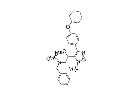 COC(CN(C=O)Cc1ccccc1)c1c(-c2ccc(OC3CCCCC3)cc2)nnn1C